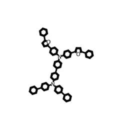 c1ccc(-c2ccc(N(c3ccc(-c4ccccc4)cc3)c3ccc(-c4ccc(N(c5ccc(-c6ccc(-c7ccccc7)o6)cc5)c5ccc(-c6ccc(-c7ccccc7)o6)cc5)cc4)cc3)cc2)cc1